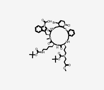 COC(=O)CCN(CCC[C@@H]1NCc2ccccc2SC2=C(CNC(=O)[C@H](Cc3cn(C(=O)O)c4ccccc34)N(C)C(=O)[C@H](CCCCNC(=O)OC(C)(C)C)NC1=O)C(Br)=CCN2Cl)C(=O)OC(C)(C)C